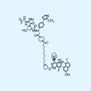 C#Cc1c(F)ccc2cc(O)cc(-c3ncc4c(N5CC6CCC(C5)N6)nc(OC5CCN(CCCCCCCCCC(=O)N6CCN(C(=O)C[C@H](NC(=O)[C@@H]7CC(O)CN7C(=O)[C@@H](NC(=O)C7(F)CC7)C(C)(C)C)c7ccc(-c8scnc8C)cc7)CC6)C5)nc4c3F)c12